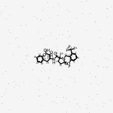 COc1cccc(C(F)(F)F)c1CN1C(=O)CCC1(I)C(=O)NC(Cc1ccccc1)C(O)C(=O)O